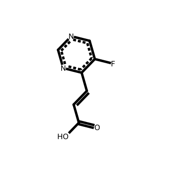 O=C(O)/C=C/c1ncncc1F